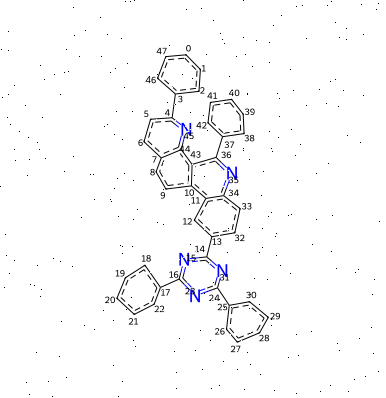 c1ccc(-c2ccc3ccc4c5cc(-c6nc(-c7ccccc7)nc(-c7ccccc7)n6)ccc5nc(-c5ccccc5)c4c3n2)cc1